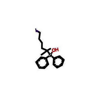 CC(C)(CCCCI)[Si](O)(c1ccccc1)c1ccccc1